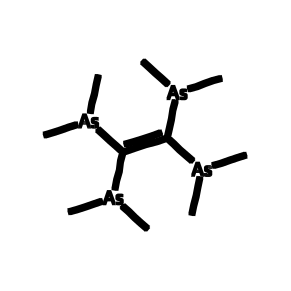 C[As](C)C(=C([As](C)C)[As](C)C)[As](C)C